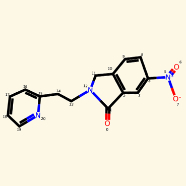 O=C1c2cc([N+](=O)[O-])ccc2CN1CCc1ccccn1